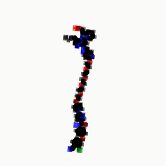 CCc1cnn2c(NCc3ccc(OCCOCCOCCOCCOCCOC4CCN(c5ccc(C(=O)N[C@H]6CC[C@H](Oc7ccc(C#N)c(Cl)c7)CC6)nn5)CC4)nc3)cc(N3CCCCC3CCO)nc12